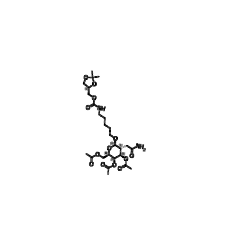 CC(=O)OC[C@H]1O[C@@H](OCCCCCNC(=O)OC[C@H]2COC(C)(C)O2)[C@H](CC(N)=O)[C@@H](OC(C)=O)[C@H]1OC(C)=O